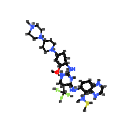 COc1cc(N2CCC(N3CCN(C)CC3)CC2)ccc1Nc1ncc(C(F)(F)F)c(Nc2ccc3nccnc3c2N(C)SC)n1